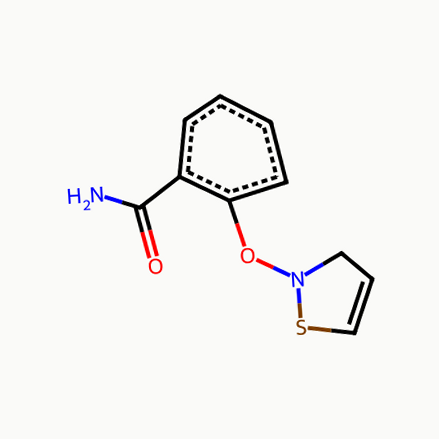 NC(=O)c1ccccc1ON1CC=CS1